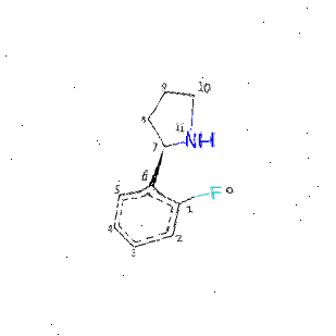 Fc1ccccc1[C@H]1CCCN1